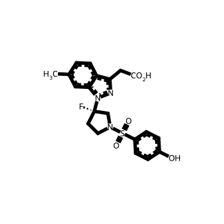 Cc1ccc2c(CC(=O)O)nn([C@]3(F)CCN(S(=O)(=O)c4ccc(O)cc4)C3)c2c1